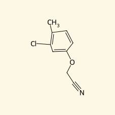 Cc1ccc(OCC#N)cc1Cl